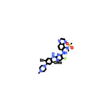 CCc1cc(Nc2ncc(F)c(Nc3ccc4nccnc4c3N(C)S(C)(=O)=O)n2)c(OC)cc1N1CCN(C)CC1